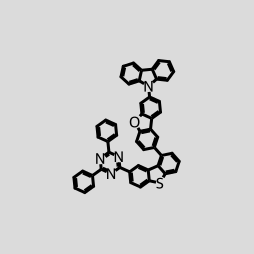 c1ccc(-c2nc(-c3ccccc3)nc(-c3ccc4sc5cccc(-c6ccc7oc8cc(-n9c%10ccccc%10c%10ccccc%109)ccc8c7c6)c5c4c3)n2)cc1